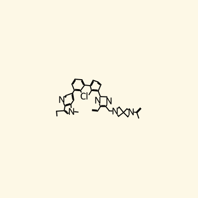 C=Cc1nc(-c2cccc(-c3cccc(-c4cnc5c(CC)cn(C)c5c4)c3Cl)c2C)cnc1CN1CC2(C1)CN(C(=C)C)C2